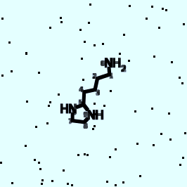 NCCCCC1NCCN1